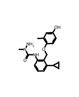 Cc1cc(O)ccc1OCc1c(NC(=O)N(C)N)cccc1C1CC1